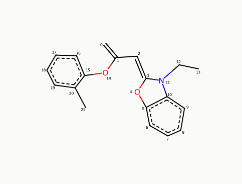 C=C(/C=C1\Oc2ccccc2N1CC)Oc1ccccc1C